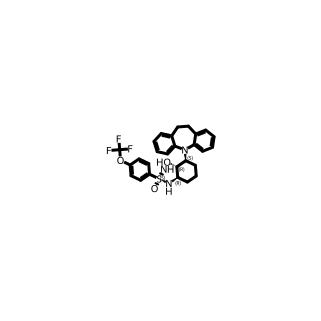 N=[S@@](=O)(N[C@@H]1CCC[C@H](N2c3ccccc3CCc3ccccc32)[C@H]1O)c1ccc(OC(F)(F)F)cc1